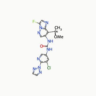 CO[C@H](C)c1c(NC(=O)Nc2cnc(-n3nccn3)c(Cl)c2)cnn2c(F)cnc12